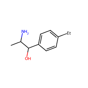 CCc1ccc(C(O)C(C)N)cc1